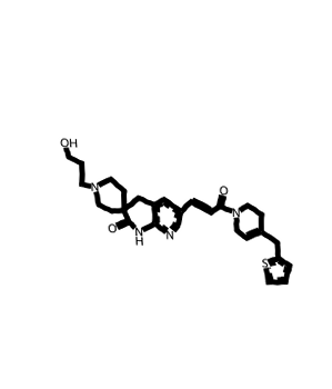 O=C(/C=C/c1cnc2c(c1)CC1(CCN(CCCO)CC1)C(=O)N2)N1CC=C(Cc2cccs2)CC1